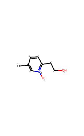 CCc1ccc(CCO)[n+]([O-])c1